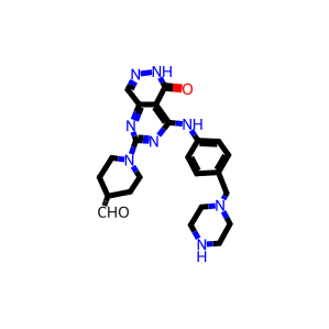 O=CC1CCN(c2nc(Nc3ccc(CN4CCNCC4)cc3)c3c(=O)[nH]ncc3n2)CC1